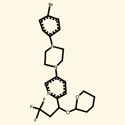 FC(F)(F)CC(OC1CCCCO1)c1ccc(N2CCN(c3ccc(Br)cc3)CC2)cn1